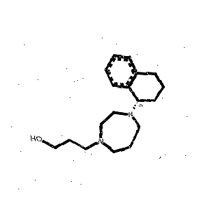 OCCCN1CCCN([C@H]2CCCc3ccccc32)CC1